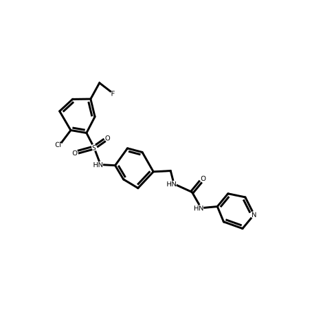 O=C(NCc1ccc(NS(=O)(=O)c2cc(CF)ccc2Cl)cc1)Nc1ccncc1